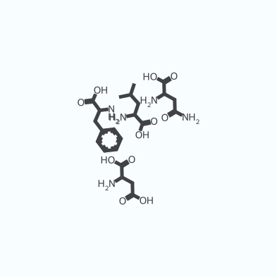 CC(C)CC(N)C(=O)O.NC(=O)CC(N)C(=O)O.NC(CC(=O)O)C(=O)O.NC(Cc1ccccc1)C(=O)O